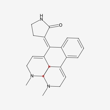 CN1CC=C(C(=C2CCNC2=O)c2ccccc2C2=CCN(C)CC2)CC1